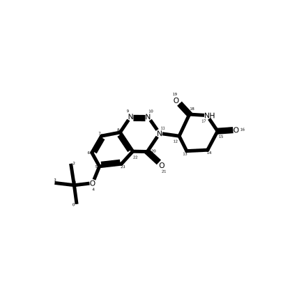 CC(C)(C)Oc1ccc2nnn(C3CCC(=O)NC3=O)c(=O)c2c1